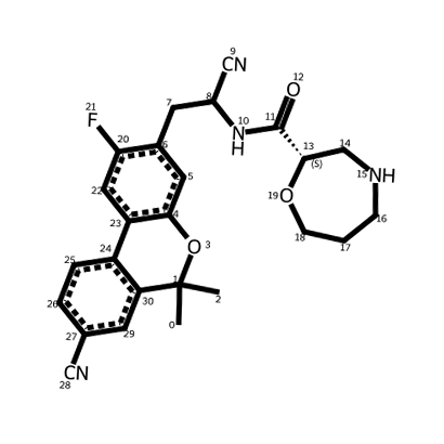 CC1(C)Oc2cc(CC(C#N)NC(=O)[C@@H]3CNCCCO3)c(F)cc2-c2ccc(C#N)cc21